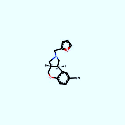 N#Cc1ccc2c(c1)[C@@H]1CN(Cc3ccco3)C[C@H]1CO2